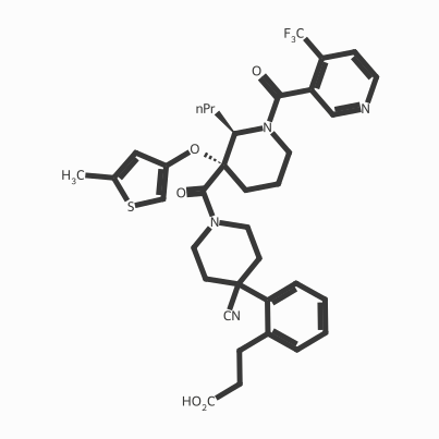 CCC[C@H]1N(C(=O)c2cnccc2C(F)(F)F)CCC[C@@]1(Oc1csc(C)c1)C(=O)N1CCC(C#N)(c2ccccc2CCC(=O)O)CC1